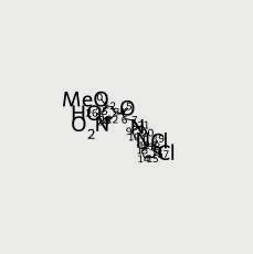 COc1cc(C(=O)CCN2CCN(c3cccc(Cl)c3Cl)CC2)cc([N+](=O)[O-])c1O